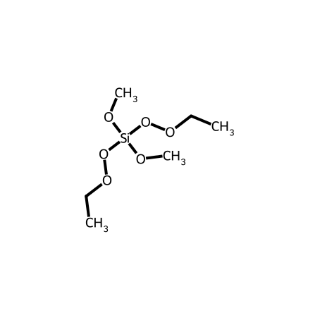 CCOO[Si](OC)(OC)OOCC